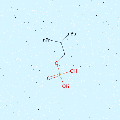 CCCCC(CCC)COP(=O)(O)O